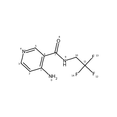 Nc1ccncc1C(=O)NCC(F)(F)F